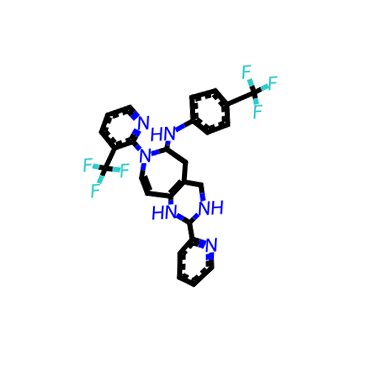 FC(F)(F)c1ccc(NC2CC3=C(C=CN2c2ncccc2C(F)(F)F)NC(c2ccccn2)NC3)cc1